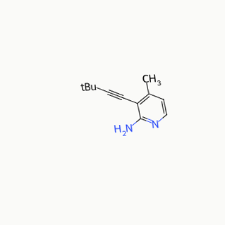 Cc1ccnc(N)c1C#CC(C)(C)C